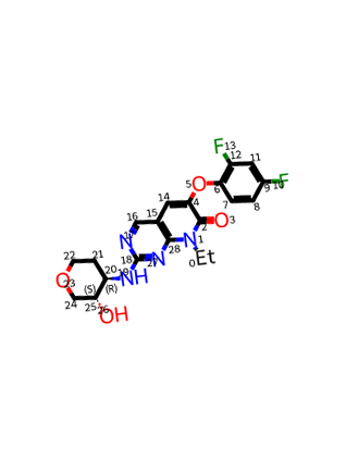 CCn1c(=O)c(Oc2ccc(F)cc2F)cc2cnc(N[C@@H]3CCOC[C@H]3O)nc21